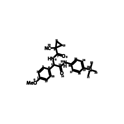 COc1ccc(C(NC(=O)C2(C#N)CC2)C(=O)Nc2ccc([Si](C)(C)C)cc2)cc1